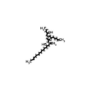 CCCCCCCCCCCCCC(O)CN(C)CCCN(CC(O)CCC)CC(O)CCCCC